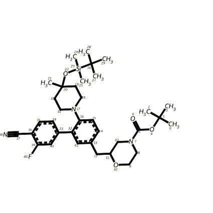 CC(C)(C)OC(=O)N1CCOC(Cc2ccc(N3CCC(C)(O[Si](C)(C)C(C)(C)C)CC3)c(-c3ccc(C#N)c(F)c3)c2)C1